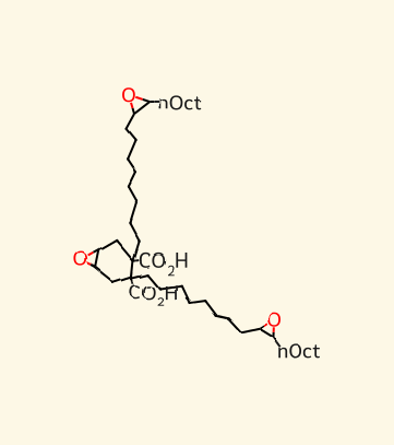 CCCCCCCCC1OC1CCCCCCCCC1(C(=O)O)CC2OC2CC1(CCCCCCCCC1OC1CCCCCCCC)C(=O)O